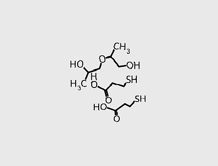 CC(O)COC(C)CO.O=C(O)CCS.O=C(O)CCS